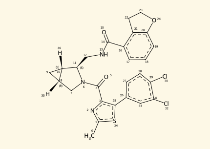 Cc1nc(C(=O)N2C[C@@H]3C[C@@H]3[C@H]2CNC(=O)c2cccc3c2CCO3)c(-c2ccc(Cl)c(Cl)c2)s1